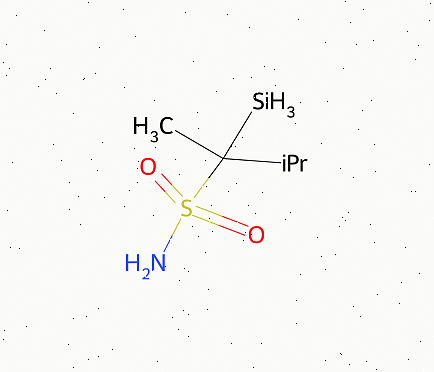 CC(C)C(C)([SiH3])S(N)(=O)=O